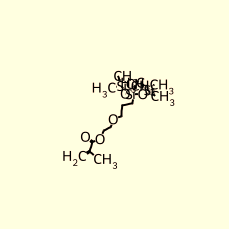 C=C(C)C(=O)OCCOCCC[Si](C)(O[Si](C)(C)C)O[Si](C)(C)C